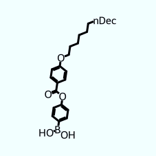 CCCCCCCCCCCCCCCCOc1ccc(C(=O)Oc2ccc(B(O)O)cc2)cc1